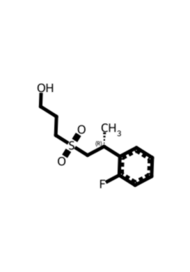 C[C@@H](CS(=O)(=O)CCCO)c1ccccc1F